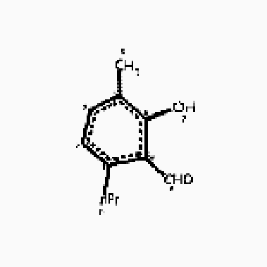 CCCc1ccc(C)c(O)c1C=O